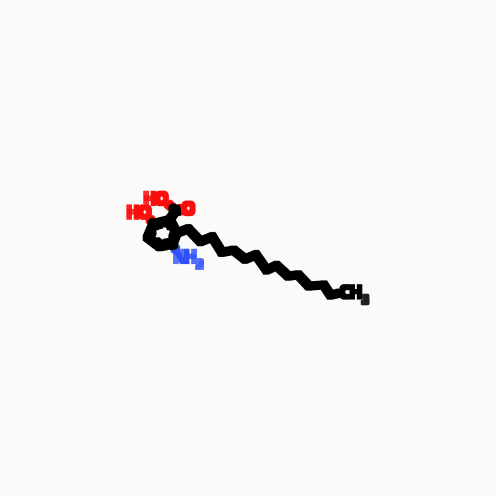 CCCCCCCCCCCCCCCc1c(N)ccc(O)c1C(=O)O